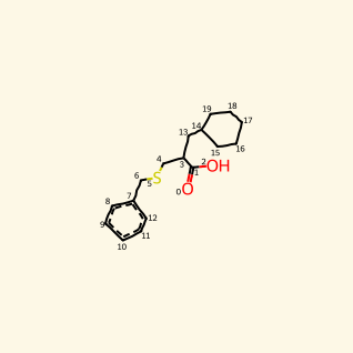 O=C(O)C(CSCc1ccccc1)CC1CCCCC1